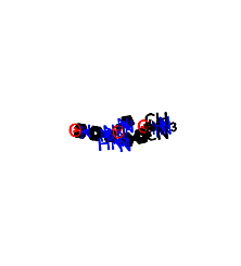 C[C@@H](Cn1cnnn1)Oc1cc(-c2cnc(Nc3cn(C4CCC(N5CCOCC5)CC4)nc3OCn3cccn3)nc2)ccc1C#N